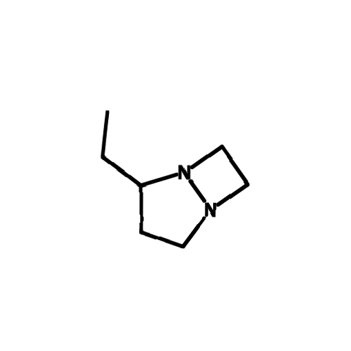 CCC1CCN2CCN12